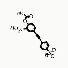 CCCC(=O)Oc1ccc(C#Cc2ccc(S(=O)(=O)Cl)cc2)cc1C(=O)O